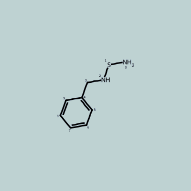 NSNCc1ccccc1